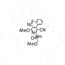 COCC(=O)Nc1nc(OC)c(C#N)c(-c2ccccc2F)c1C#N